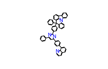 c1ccc(-c2cc(-c3ccc(-c4cccc5cccnc45)cc3)nc(-c3ccc(C4(c5ccccc5)c5ccccc5-n5c6ccccc6c6cccc4c65)cc3)n2)cc1